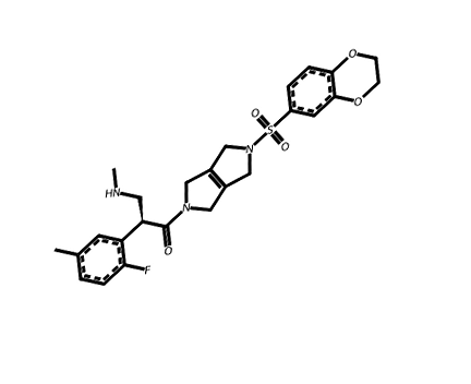 CNC[C@@H](C(=O)N1CC2=C(C1)CN(S(=O)(=O)c1ccc3c(c1)OCCO3)C2)c1cc(C)ccc1F